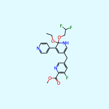 CCOC1(OCC(F)F)NC=C(Cc2cnc(C(=O)OC)c(F)c2)C=C1c1ccncc1